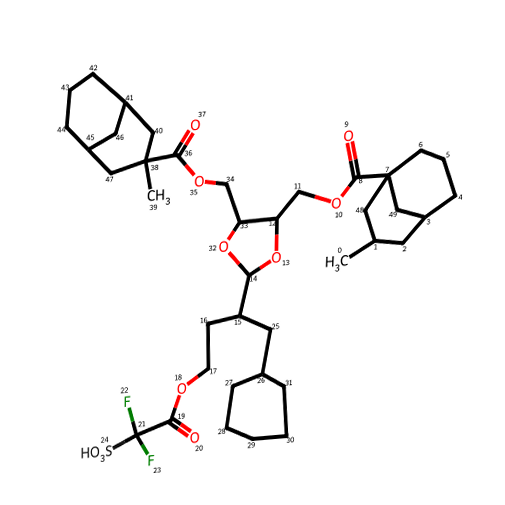 CC1CC2CCCC(C(=O)OCC3OC(C(CCOC(=O)C(F)(F)S(=O)(=O)O)CC4CCCCC4)OC3COC(=O)C3(C)CC4CCCC(C4)C3)(C1)C2